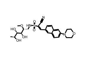 CO[C@H](CNS(=O)(=O)/C(C#N)=C/c1ccc2cc(N3CCOCC3)ccc2c1)[C@@H](O)[C@H](O)[C@H](C)O